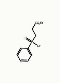 CCOC(=O)CCP(=O)(O)c1ccccc1